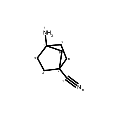 N#CC12CCC(N)(CC1)C2